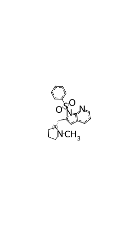 CN1CCC[C@@H]1Cc1cc2cccnc2n1S(=O)(=O)c1ccccc1